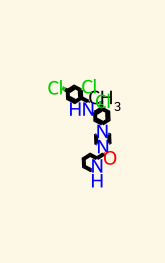 CC(Nc1cc(N2CCN(C(=O)C3CCCCN3)CC2)ccc1Cl)c1ccc(Cl)cc1Cl